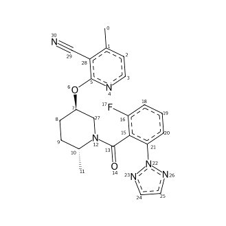 Cc1ccnc(O[C@@H]2CC[C@@H](C)N(C(=O)c3c(F)cccc3-n3nccn3)C2)c1C#N